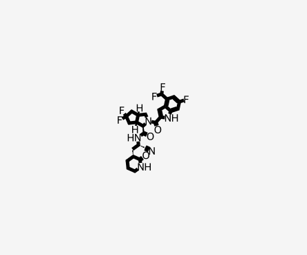 N#C[C@H](C[C@H]1CCCNC1=O)NC(=O)[C@H]1[C@@H]2CC(F)(F)C[C@@H]2CN1C(=O)c1cc2c(C(F)F)cc(F)cc2[nH]1